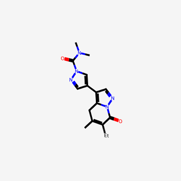 CCC1=C(C)Cc2c(-c3cnn(C(=O)N(C)C)c3)cnn2C1=O